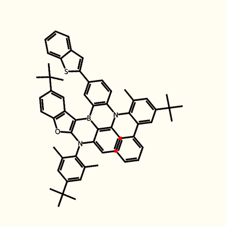 Cc1cc(C(C)(C)C)cc(C)c1N1c2cccc3c2B(c2cc(-c4cc5ccccc5s4)ccc2N3c2c(C)cc(C(C)(C)C)cc2-c2ccccc2)c2c1oc1ccc(C(C)(C)C)cc21